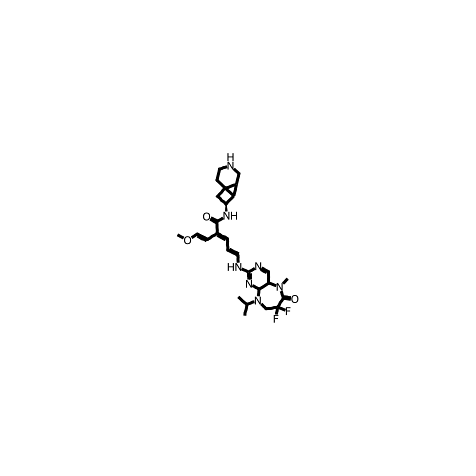 CO/C=C/C(=C\C=C\NC1=NC2C(C=N1)N(C)C(=O)C(F)(F)CN2C(C)C)C(=O)N[C@H]1CC23CCNCC2C13